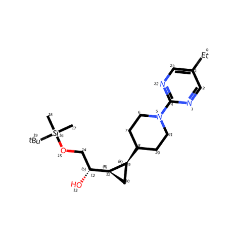 CCc1cnc(N2CCC([C@H]3C[C@H]3[C@H](O)CO[Si](C)(C)C(C)(C)C)CC2)nc1